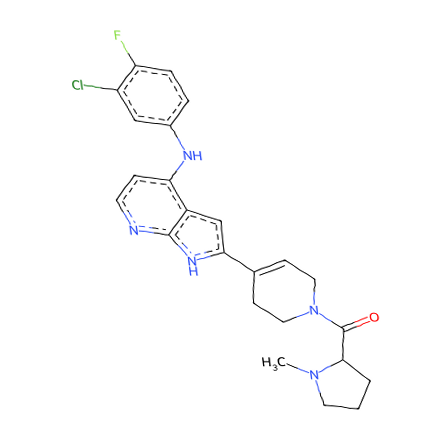 CN1CCCC1C(=O)N1CC=C(c2cc3c(Nc4ccc(F)c(Cl)c4)ccnc3[nH]2)CC1